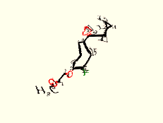 COCCOc1ccc(C(=O)CC2CC2)cc1F